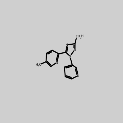 Cc1ccc(-c2nc(C(=O)O)nn2-c2cccnc2)nc1